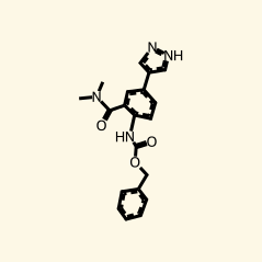 CN(C)C(=O)c1cc(-c2cn[nH]c2)ccc1NC(=O)OCc1ccccc1